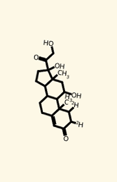 [2H]C1C(=O)C=C2CCC3C(C(O)CC4(C)C3CCC4(O)C(=O)CO)C2(C)C1[2H]